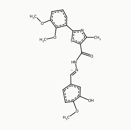 COc1ccc(/C=N/NC(=O)c2sc(-c3cccc(OC)c3OC)nc2C)cc1O